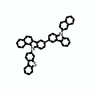 c1ccc2cc(-n3c4ccccc4c4cc(-c5ccc6c(c5)c5ccc7ccccc7c5n6-c5ccc6c(c5)sc5ccccc56)ccc43)ccc2c1